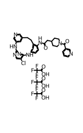 O=C(CC1CCN(C(=O)c2cccnc2)CC1)Nc1ccc2cc1CCc1cncc(c1)Nc1ncc(Cl)c(n1)N2.O=C(O)C(F)(F)F.O=C(O)C(F)(F)F.O=C(O)C(F)(F)F